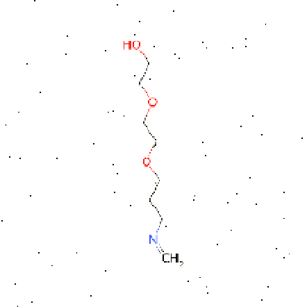 C=NCCCOCCOCCO